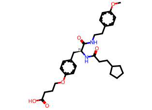 COc1ccc(CCNC(=O)[C@H](Cc2ccc(OCCCC(=O)O)cc2)NC(=O)CCC2CCCC2)cc1